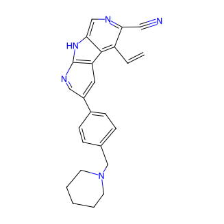 C=Cc1c(C#N)ncc2[nH]c3ncc(-c4ccc(CN5CCCCC5)cc4)cc3c12